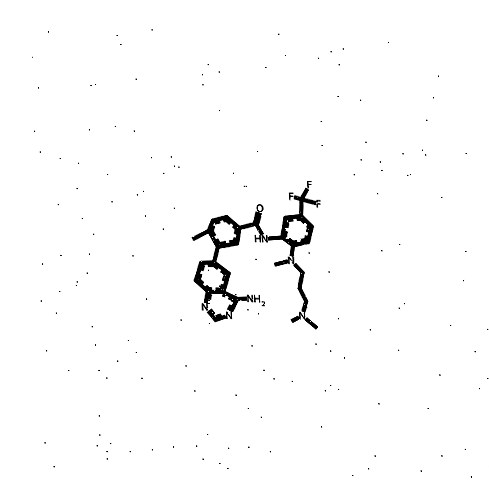 Cc1ccc(C(=O)Nc2cc(C(F)(F)F)ccc2N(C)CCCN(C)C)cc1-c1ccc2ncnc(N)c2c1